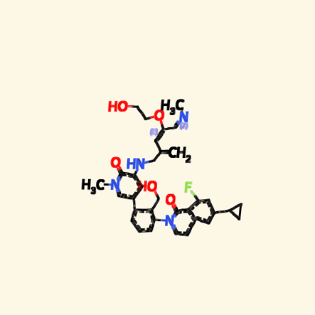 C=C(/C=C(\C=N/C)OCCO)CNc1cc(-c2cccc(-n3ccc4cc(C5CC5)cc(F)c4c3=O)c2CO)cn(C)c1=O